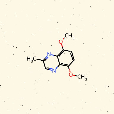 COc1ccc(OC)c2nc(C)cnc12